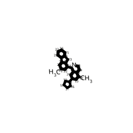 Cc1cc2c(c(-c3nccc4c(C)cc(C5CCCC5)cc34)c1)Cc1ccccc1-2